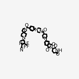 N#Cc1ncc(N2CCC3(CCN(C(=O)c4ccc(N5CCN(C(=O)C6CCN(c7ccc8c(c7)C(=O)N(C7CCC(=O)NC7=O)C8=O)CC6)CC5)cc4)C3)CC2)cc1C(F)(F)F